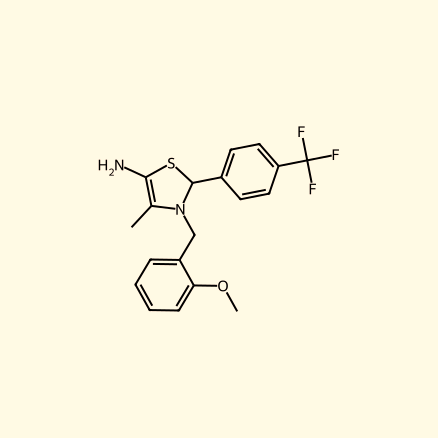 COc1ccccc1CN1C(C)=C(N)SC1c1ccc(C(F)(F)F)cc1